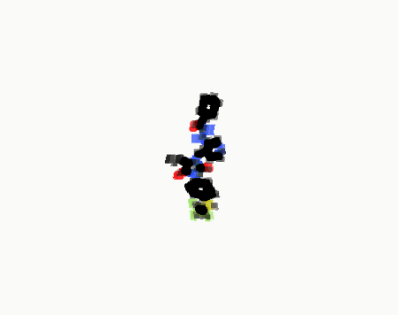 CC1C(=O)N(c2ccc(SC(F)(F)F)cc2)C(=O)N1Cc1ccncc1NNC(=O)c1ccccc1